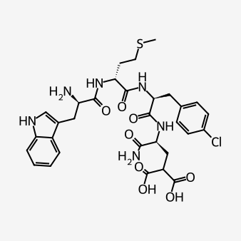 CSCC[C@@H](NC(=O)[C@H](N)Cc1c[nH]c2ccccc12)C(=O)N[C@@H](Cc1ccc(Cl)cc1)C(=O)N[C@@H](CC(C(=O)O)C(=O)O)C(N)=O